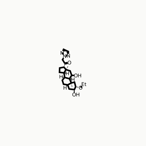 CCO[C@H]1C[C@@]2(C)[C@@H](CC[C@H]3[C@@H]4CC[C@H](C(=O)Cn5nccn5)[C@@]4(C)CC(O)[C@@H]32)C[C@@H]1O